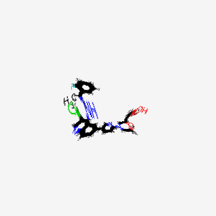 C[C@@H](Nc1c(Cl)cnc2ccc(-c3ccc(N4CCOC(CO)C4)nc3)cc12)c1ccccc1F